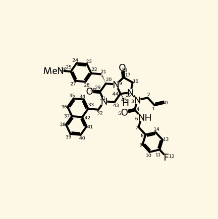 C=CCN(C(=O)NCc1ccc(F)cc1)N1CC(=O)N2[C@@H](Cc3ccc(NC)cc3)C(=O)N(Cc3cccc4ccccc34)C[C@@H]21